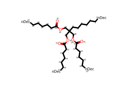 CCCCCCCCCCCCCCCCC(COC(=O)CCCCCCCCCCCCCCC)(COC(=O)CCCCCCCCCCCCCCC)COC(=O)CCCCCCCCCCCCCCC